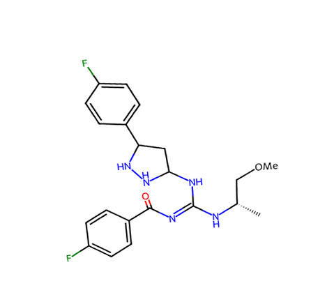 COC[C@H](C)N/C(=N/C(=O)c1ccc(F)cc1)NC1CC(c2ccc(F)cc2)NN1